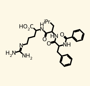 CC(C)CC(NC(=O)C(Cc1ccccc1)NC(=O)c1ccccc1)C(=O)NC(CCCN=C(N)N)C(=O)O